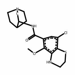 COc1c(C(=O)NC2CN3CCC2CC3)cc(Cl)c2c1NCCS2